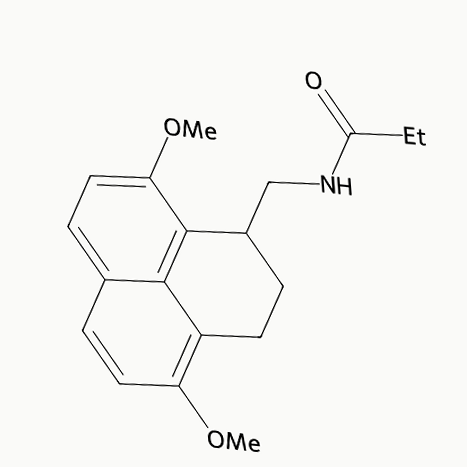 CCC(=O)NCC1CCc2c(OC)ccc3ccc(OC)c1c23